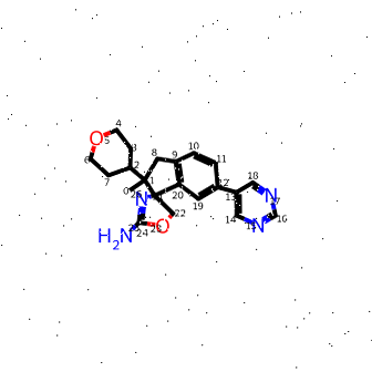 CC1(C2CCOCC2)Cc2ccc(-c3cncnc3)cc2C12COC(N)=N2